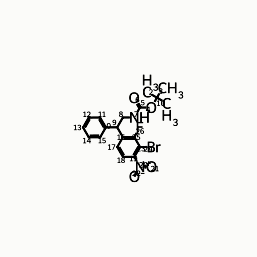 CC(C)(C)OC(=O)NCC(c1ccccc1)c1ccc([N+](=O)[O-])c(Br)c1F